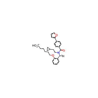 [2H]C(c1ccccc1OCCCCCC(=O)O)N(CCC1CC1)C(=O)c1ccc(-c2ccco2)cc1